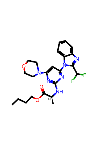 CCCCOC(=O)[C@H](C)Nc1nc(N2CCOCC2)cc(-n2c(C(F)F)nc3ccccc32)n1